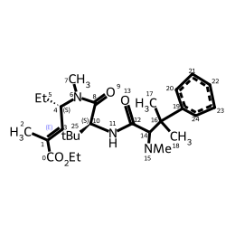 CCOC(=O)/C(C)=C/[C@H](CC)N(C)C(=O)[C@@H](NC(=O)C(NC)C(C)(C)c1ccccc1)C(C)(C)C